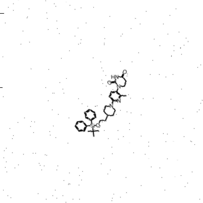 Cc1nc(N2CCC(CCO[Si](c3ccccc3)(c3ccccc3)C(C)(C)C)CC2)ccc1N1CCC(=O)NC1=O